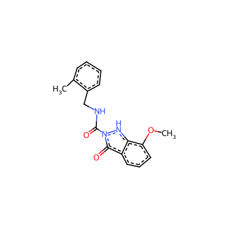 COc1cccc2c(=O)n(C(=O)NCc3ccccc3C)[nH]c12